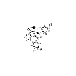 NS(=O)(=O)c1ccccc1-n1nc(-c2ccc(Cl)cc2)cc1-c1ccc(F)c(F)c1